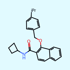 CC(C)c1ccc(COc2c(C(=O)NC3CCC3)ccc3ccccc23)cc1